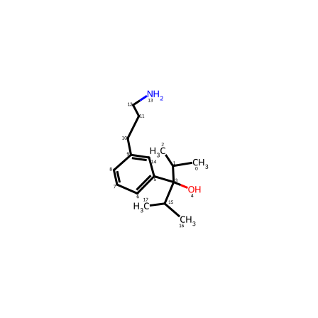 CC(C)C(O)(c1cccc(CCCN)c1)C(C)C